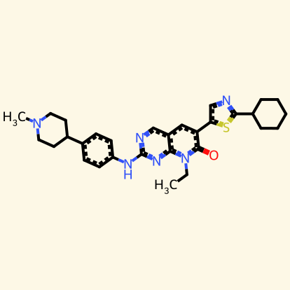 CCn1c(=O)c(-c2cnc(C3CCCCC3)s2)cc2cnc(Nc3ccc(C4CCN(C)CC4)cc3)nc21